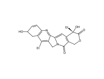 CCc1c2c(nc3c1Cn1c-3cc3c(c1=O)COC(=O)[C@]3(O)CC)C=CC(O)C2